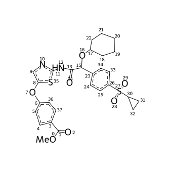 COC(=O)c1ccc(Oc2cnc(NC(=O)C(OC3CCCCC3)c3ccc(S(=O)(=O)C4CC4)cc3)s2)cc1